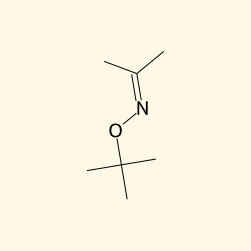 CC(C)=NOC(C)(C)C